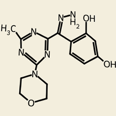 Cc1nc(C(=NN)c2ccc(O)cc2O)nc(N2CCOCC2)n1